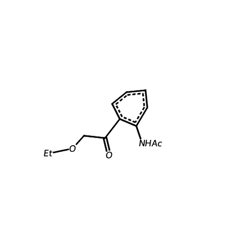 CCOCC(=O)c1ccccc1NC(C)=O